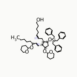 CCCCC[C@@H](/C=C/[C@@H]1[C@@H](C/C=C\CCCCO)[C@@H](O[Si](Cc2ccccc2)(Cc2ccccc2)Cc2ccccc2)C[C@H]1OC1CCCCO1)OC1CCCCO1